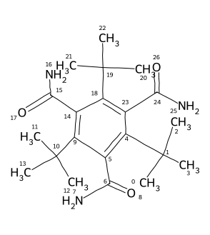 CC(C)(C)c1c(C(N)=O)c(C(C)(C)C)c(C(N)=O)c(C(C)(C)C)c1C(N)=O